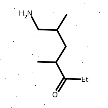 CCC(=O)C(C)CC(C)CN